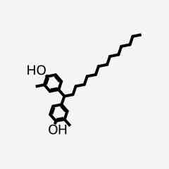 CCCCCCCCCCCCCC(c1ccc(O)c(C)c1)c1ccc(O)c(C)c1